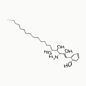 CCCCCCCCCCCCCC[C@@H](O)[C@@H](O)[C@@H](N)C(O)=Cc1ccccc1O